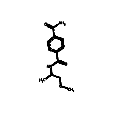 COCC(C)NC(=O)c1ccc(C(N)=O)cc1